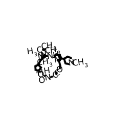 CN1CCC(c2ccc3nc2COCCCNC(=O)O[C@@H]2CC[C@@](C)(C2)c2cc(n(C(C)(C)C)n2)N3)CC1